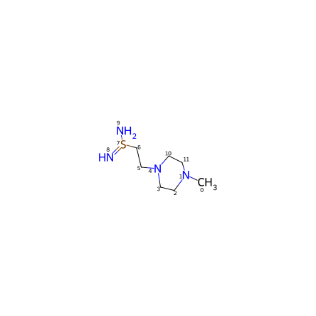 CN1CCN(CCS(=N)N)CC1